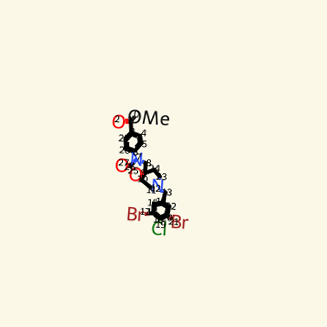 COC(=O)c1ccc(N2CC3(CCN(Cc4cc(Br)c(Cl)c(Br)c4)CC3)OC2=O)cc1